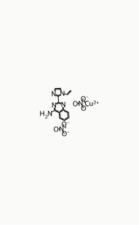 C=Cn1ccnc1-c1nc(N)c2ccccc2n1.O=[N+]([O-])[O-].O=[N+]([O-])[O-].[Cu+2]